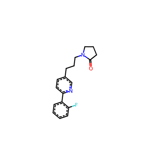 O=C1CCCN1CCCc1ccc(-c2ccccc2F)nc1